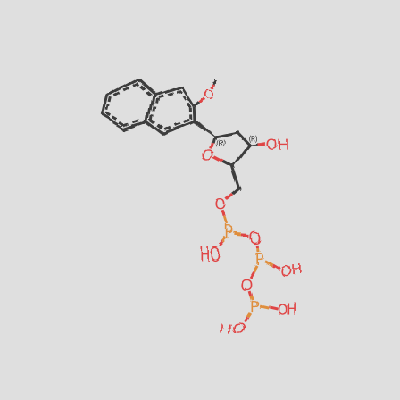 COc1cc2ccccc2cc1[C@H]1C[C@@H](O)C(COP(O)OP(O)OP(O)O)O1